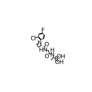 CC(NC(=O)CNC(=O)[C@@H]1CCN1c1ccc(F)cc1Cl)B(O)O